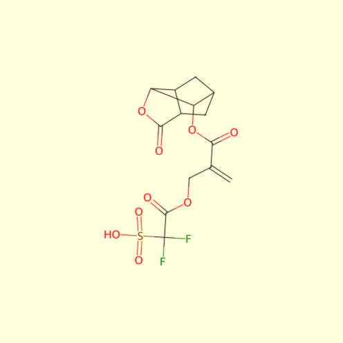 C=C(COC(=O)C(F)(F)S(=O)(=O)O)C(=O)OC1C2CC3C(=O)OC1C3C2